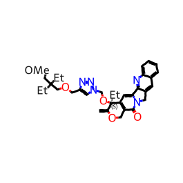 C=C1OCc2c(cc3n(c2=O)Cc2cc4ccccc4nc2-3)[C@]1(CC)OCn1cc(COCC(CC)(CC)COC)nn1